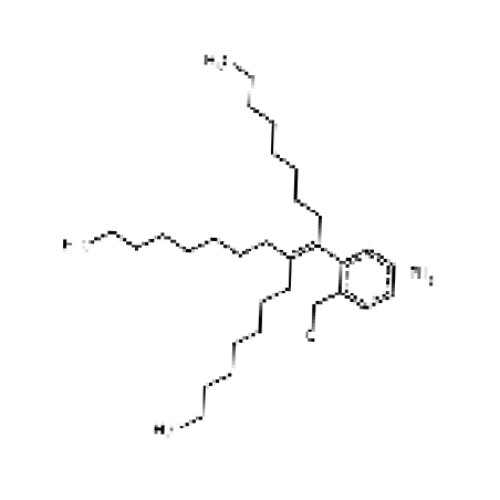 CCCCCCCCC(CCCCCCCC)=C(CCCCCCCC)c1ccccc1CCl.P